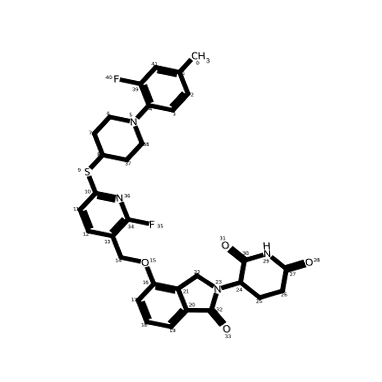 Cc1ccc(N2CCC(Sc3ccc(COc4cccc5c4CN(C4CCC(=O)NC4=O)C5=O)c(F)n3)CC2)c(F)c1